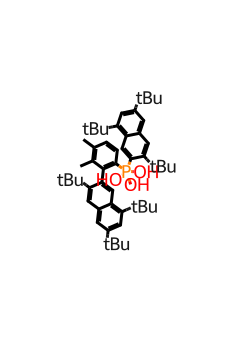 Cc1ccc(P(O)(O)(O)c2cc3c(C(C)(C)C)cc(C(C)(C)C)cc3cc2C(C)(C)C)c(-c2cc3c(C(C)(C)C)cc(C(C)(C)C)cc3cc2C(C)(C)C)c1C